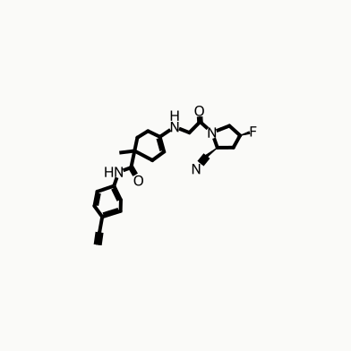 C#Cc1ccc(NC(=O)C2(C)CC=C(NCC(=O)N3C[C@@H](F)C[C@H]3C#N)CC2)cc1